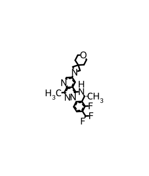 Cc1nnc(N[C@H](C)c2cccc(C(F)F)c2F)c2cc(N3CC4(CCOCC4)C3)cnc12